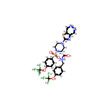 O=C(NCc1ccc(OC(F)(F)F)cc1)[C@H]1CN(c2nc3cnncc3s2)CCN1S(=O)(=O)c1ccc(OC(F)(F)F)cc1